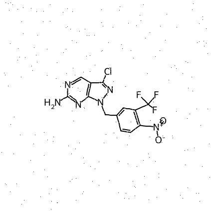 Nc1ncc2c(Cl)nn(Cc3ccc([N+](=O)[O-])c(C(F)(F)F)c3)c2n1